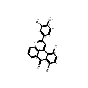 O=C(/C=C1\c2ccccc2C(=O)c2c(Cl)ccc(Cl)c21)c1ccc(O)c(O)c1